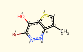 Cc1csc2c(O)c(Br)nnc12